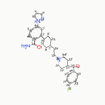 NC(=O)c1ccc(-n2cccn2)cc1C1CCC(CCN2CCC(C(=O)c3ccc(F)cc3)CC2)CC1